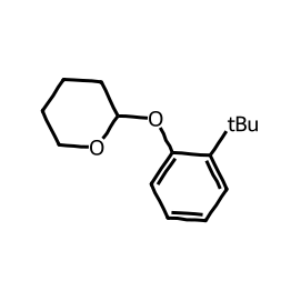 CC(C)(C)c1ccccc1OC1CCCCO1